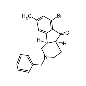 Cc1cc(Br)c2c(c1)[C@@H]1CN(Cc3ccccc3)CC[C@@H]1C2=O